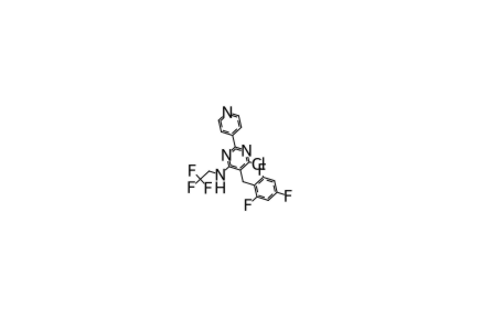 Fc1cc(F)c(Cc2c(Cl)nc(-c3ccncc3)nc2NCC(F)(F)F)c(F)c1